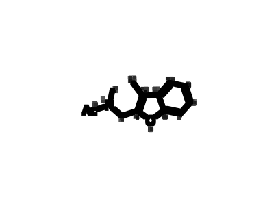 CC(=O)N(C)Cc1oc2ccccc2c1C